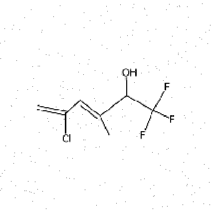 C=C(Cl)/C=C(\C)C(O)C(F)(F)F